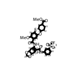 COC(=O)C1CCC(Oc2cc(C(=O)NC3C4CC(C5OCOC45)C3C(=O)Nc3cccc(S(=O)(=O)C(F)(F)F)c3)c(OC)cc2F)CC1